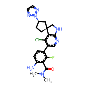 CN(C)C(=O)c1c(N)ccc(-c2cnc3c(c2Cl)[C@@]2(CC[C@@H](n4nccn4)C2)CN3)c1F